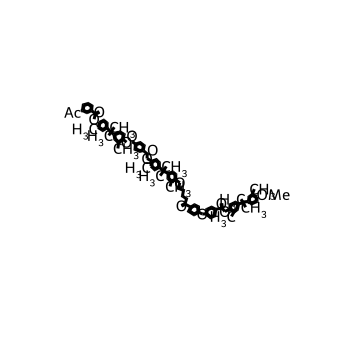 COc1ccc(C(C)(C)c2ccc(OC(=O)c3ccc(Oc4ccc(C(=O)CCCCOc5ccc(C(C)(C)c6ccc(OC(=O)c7ccc(C(=O)Oc8ccc(C(C)(C)c9ccc(OC(=O)c%10cccc(C(C)=O)c%10)c(C)c9)cc8C)cc7)c(C)c6)cc5C)cc4)cc3)c(C)c2)cc1C